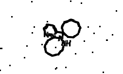 c1cnnc(C2(N3CCCCCCCN3)CCCCCCCC2)c1